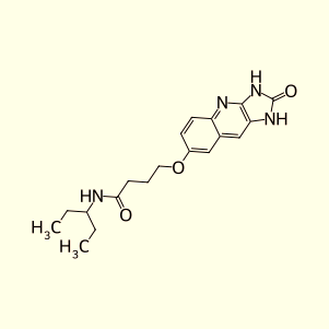 CCC(CC)NC(=O)CCCOc1ccc2nc3[nH]c(=O)[nH]c3cc2c1